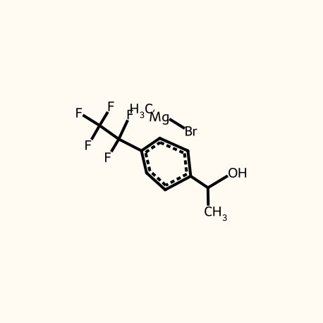 CC(O)c1ccc(C(F)(F)C(F)(F)F)cc1.[CH3][Mg][Br]